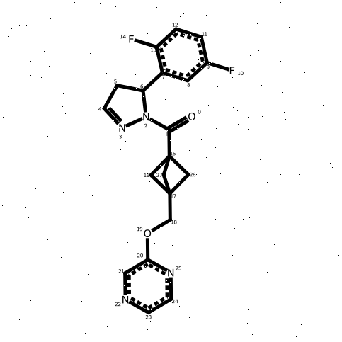 O=C(N1N=CCC1c1cc(F)ccc1F)C12CC(COc3cnccn3)(C1)C2